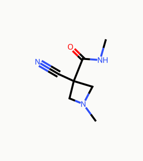 CNC(=O)C1(C#N)CN(C)C1